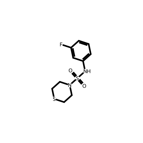 O=S(=O)(Nc1cccc(F)c1)N1CCSCC1